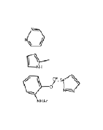 CC(=O)Nc1ccccc1OC(F)(F)F.Cc1ccc[nH]1.c1c[se]nn1.c1ccnnc1